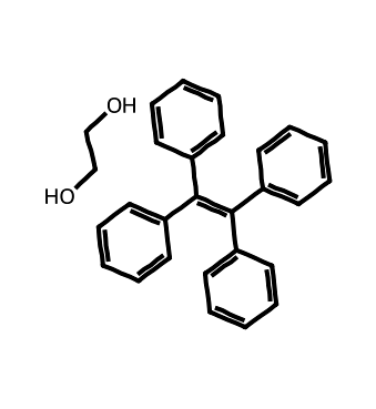 OCCO.c1ccc(C(=C(c2ccccc2)c2ccccc2)c2ccccc2)cc1